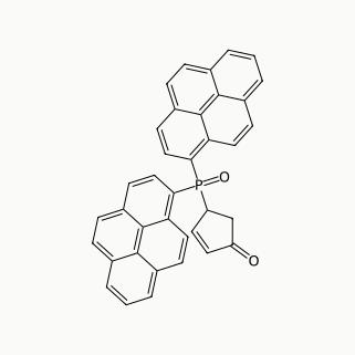 O=C1C=CC(P(=O)(c2ccc3ccc4cccc5ccc2c3c45)c2ccc3ccc4cccc5ccc2c3c45)C1